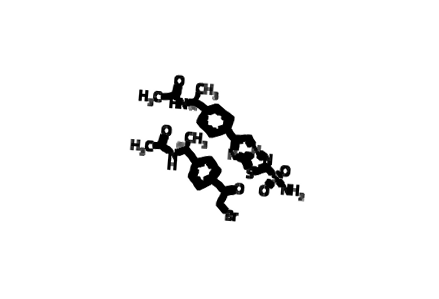 CC(=O)N[C@@H](C)c1ccc(-c2cn3nc(S(N)(=O)=O)sc3n2)cc1.CC(=O)N[C@@H](C)c1ccc(C(=O)CBr)cc1